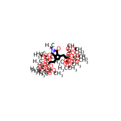 CCN1C(=O)C2C(CC[Si](O[Si](OC)(OC)OC)(O[Si](OC)(OC)OC)O[Si](OC)(OC)OC)CC(CC[Si](O[Si](OC)(OC)OC)(O[Si](OC)(OC)OC)O[Si](OC)(OC)OC)C2C1=O